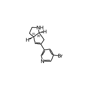 Brc1cncc(C2=C[C@@H]3CCN[C@@H]3C2)c1